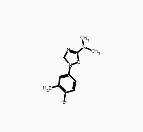 Cc1cc(N2CN=C(N(C)C)O2)ccc1Br